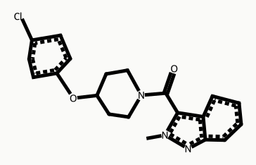 Cn1nc2ccccc2c1C(=O)N1CCC(Oc2ccc(Cl)cc2)CC1